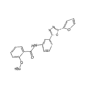 CCCCOc1ccccc1C(=O)Nc1cccc(-c2nnc(-c3ccco3)o2)c1